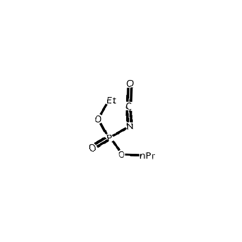 CCCOP(=O)(N=C=O)OCC